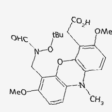 COc1ccc2c(c1CC(=O)O)Oc1c(ccc(OC)c1CN(C=O)OC(C)(C)C)N2C